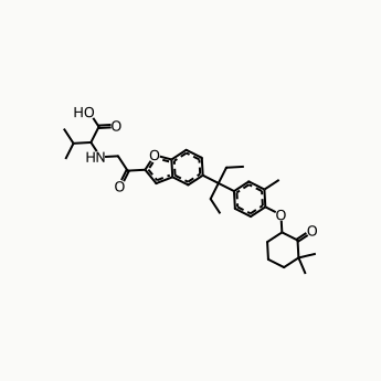 CCC(CC)(c1ccc(OC2CCCC(C)(C)C2=O)c(C)c1)c1ccc2oc(C(=O)CNC(C(=O)O)C(C)C)cc2c1